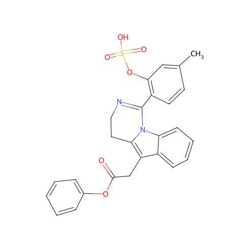 Cc1ccc(C2=NCCc3c(CC(=O)Oc4ccccc4)c4ccccc4n32)c(OS(=O)(=O)O)c1